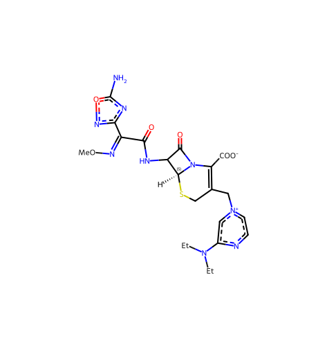 CCN(CC)c1c[n+](CC2=C(C(=O)[O-])N3C(=O)C(NC(=O)C(=NOC)c4noc(N)n4)[C@@H]3SC2)ccn1